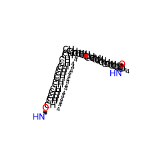 C.C.C.C.C.C.C.C.C.C.C.C.C.C.C.C.C.C.C.C.C.C.C.C.C.C.C.C.C.C.C.C.C.C.N=C=O.N=C=O